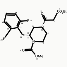 CCOC(=O)CC(=O)[C@@H]1CCN(C(=O)OC)[C@H](Cc2c(F)cccc2F)C1